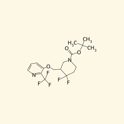 CC(C)(C)OC(=O)N1CCC(F)(F)C(COc2cccnc2C(F)(F)F)C1